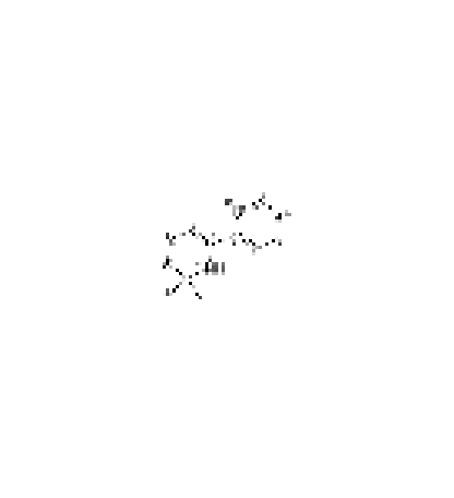 CC1(C)C=CC=C(c2ccccn2)N1